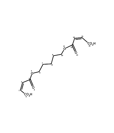 O=C(O)/C=C\C(=O)OCCCCCOC(=O)/C=C\C(=O)O